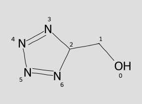 OCC1N=NN=N1